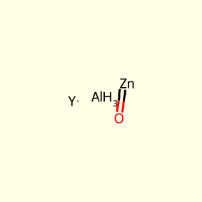 [AlH3].[O]=[Zn].[Y]